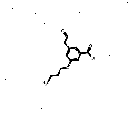 CCCCOc1cc(CC=O)cc(C(=O)O)c1